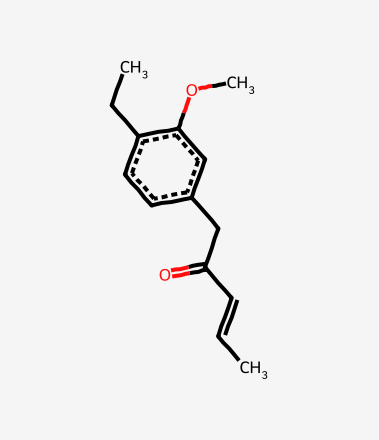 CC=CC(=O)Cc1ccc(CC)c(OC)c1